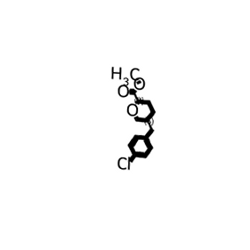 COC(=O)[C@H]1CC[C@@H](Cc2ccc(Cl)cc2)CO1